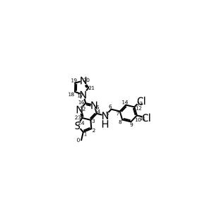 Cc1cc2c(NCc3ccc(Cl)c(Cl)c3)nc(-n3ccnc3)nc2s1